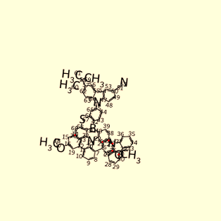 COc1cccc(-c2cccc(-c3cccc(OC)c3)c2N2c3cc(-n4c5ccccc5c5ccccc54)ccc3B3c4ccc(-n5c6ccc(C#N)cc6c6cc(C(C)(C)C)ccc65)cc4Sc4cccc2c43)c1